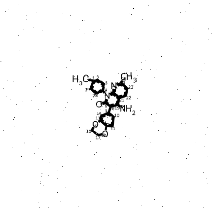 Cc1ccc(-n2c(=O)c(-c3ccc4c(c3)OCCO4)c(N)c3ccc(C)nc32)cc1